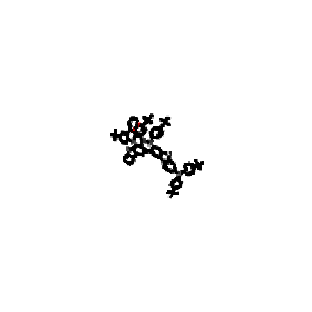 CC(C)(C)c1ccc(N2B3c4cc(C(C)(C)C)ccc4N(c4ccc(C(C)(C)C)cc4-c4ccccc4)c4c3c(cc3c4oc4ccccc43)-c3cc4c(cc32)oc2cc(N(c3ccc(C(C)(C)C)cc3)c3ccc(C(C)(C)C)cc3)ccc24)cc1